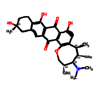 CC(=O)O[C@H]1[C@@H](N(C)C)[C@H](OC(C)=O)COc2c(cc(O)c3c2C(=O)c2cc4c(c(O)c2C3=O)CC[C@@](C)(O)C4)[C@H]1C